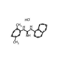 Cc1ccc(C)c(NC(=N)Nc2cccc3ccccc23)c1.Cl